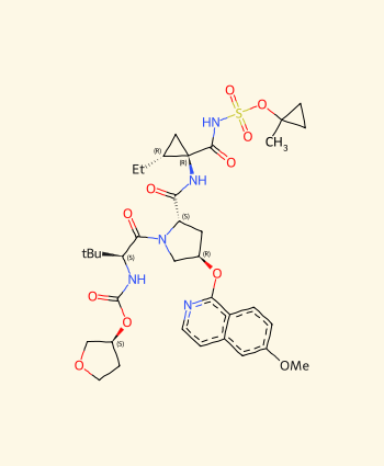 CC[C@@H]1C[C@]1(NC(=O)[C@@H]1C[C@@H](Oc2nccc3cc(OC)ccc23)CN1C(=O)[C@@H](NC(=O)O[C@H]1CCOC1)C(C)(C)C)C(=O)NS(=O)(=O)OC1(C)CC1